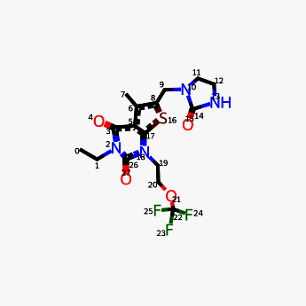 CCn1c(=O)c2c(C)c(CN3CCNC3=O)sc2n(CCOC(F)(F)F)c1=O